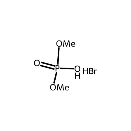 Br.COP(=O)(O)OC